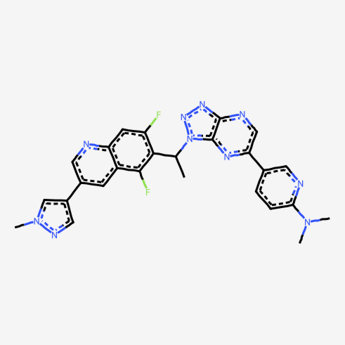 CC(c1c(F)cc2ncc(-c3cnn(C)c3)cc2c1F)n1nnc2ncc(-c3ccc(N(C)C)nc3)nc21